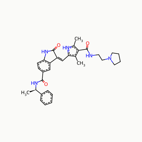 Cc1[nH]c(/C=C2\C(=O)Nc3ccc(C(=O)N[C@H](C)c4ccccc4)cc32)c(C)c1C(=O)NCCN1CCCC1